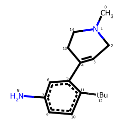 CN1CC=C(c2cc(N)ccc2C(C)(C)C)CC1